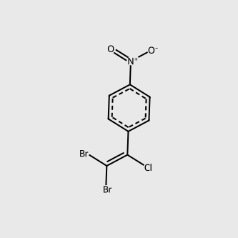 O=[N+]([O-])c1ccc(C(Cl)=C(Br)Br)cc1